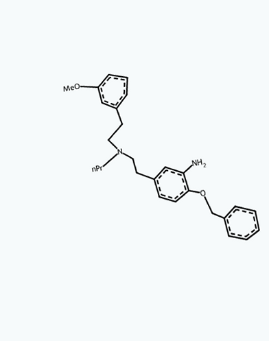 CCCN(CCc1cccc(OC)c1)CCc1ccc(OCc2ccccc2)c(N)c1